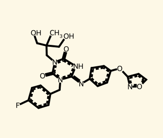 CC(CO)(CO)Cn1c(=O)[nH]/c(=N\c2ccc(Oc3ccon3)cc2)n(Cc2ccc(F)cc2)c1=O